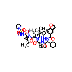 C=C[C@@H]1C[C@]1(NC(=O)[C@@H]1C[C@@]2(CN1C(=O)[C@@H](NC(=O)C(NC(=O)c1ccc3occc3c1)C1CCCCC1)C(C)(C)C)C(C)(C)C21CCC1)C(=O)NS(=O)(=O)N1CCCC1